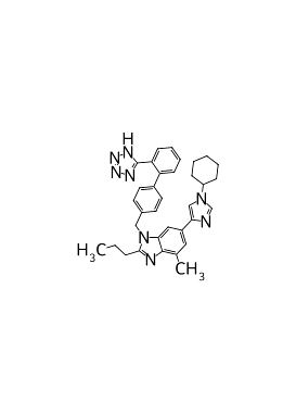 CCCc1nc2c(C)cc(-c3cn(C4CCCCC4)cn3)cc2n1Cc1ccc(-c2ccccc2-c2nnn[nH]2)cc1